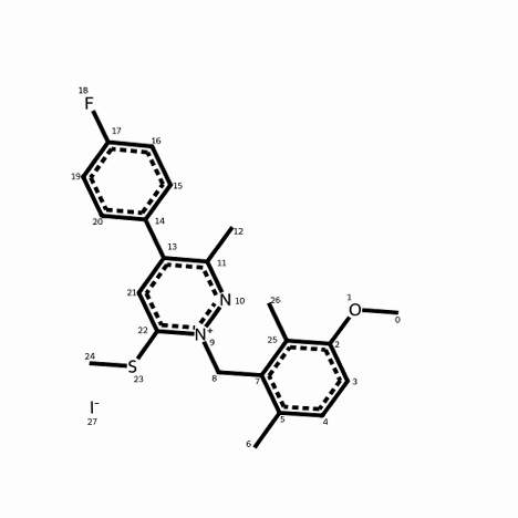 COc1ccc(C)c(C[n+]2nc(C)c(-c3ccc(F)cc3)cc2SC)c1C.[I-]